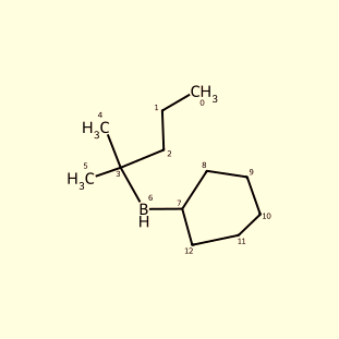 CCCC(C)(C)BC1CCCCC1